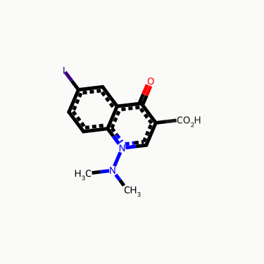 CN(C)n1cc(C(=O)O)c(=O)c2cc(I)ccc21